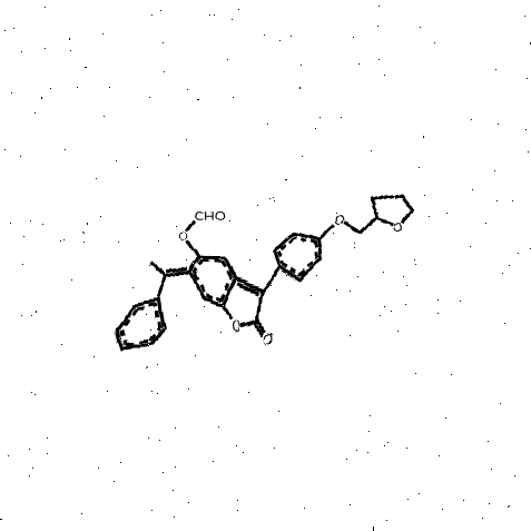 C/C(c1ccccc1)=c1/cc2c(cc1OC=O)=C(c1ccc(OCC3CCCO3)cc1)C(=O)O2